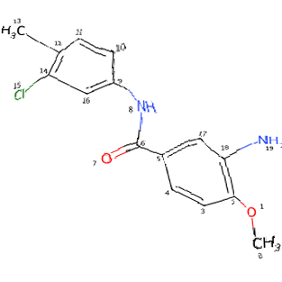 COc1ccc(C(=O)Nc2ccc(C)c(Cl)c2)cc1N